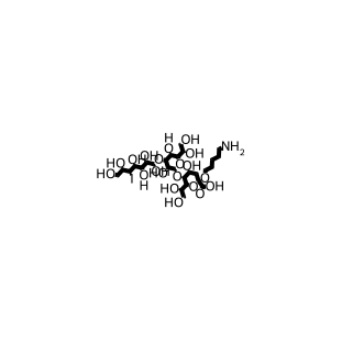 NCCCCCO[C@]1(C(=O)O)C[C@@H](O)[C@@H](O[C@H]2OC([C@@H](O)CO)[C@@H](O)C(O[C@@H](O)C(O)C(O)[C@H](O)[C@@H](I)[C@@H](O)CO)[C@H]2O)C([C@H](O)CO)O1